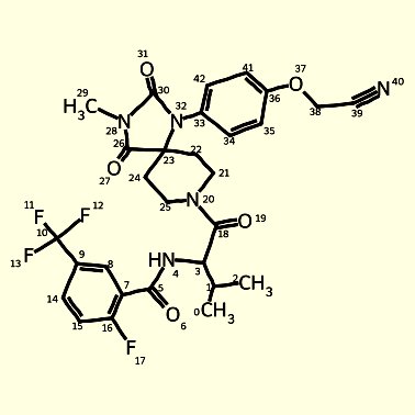 CC(C)C(NC(=O)c1cc(C(F)(F)F)ccc1F)C(=O)N1CCC2(CC1)C(=O)N(C)C(=O)N2c1ccc(OCC#N)cc1